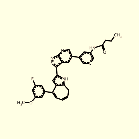 CCCC(=O)Nc1cncc(-c2cnc3[nH]nc(-c4cc5c([nH]4)CC=CC=C5c4cc(F)cc(OC)c4)c3c2)c1